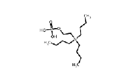 CCCC[N+](CCCC)(CCCC)CCOP(=O)(O)O